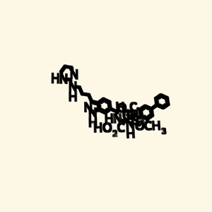 Cc1cc(-c2ccccc2)cc(C)c1S(=O)(=O)NC(C)(NC(=O)c1ccc2c(CCCNC3N=CCCN3)n[nH]c2c1)C(=O)O